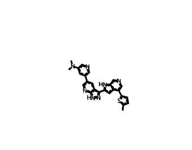 Cc1ccc(-c2cncc3[nH]c(-c4n[nH]c5ncc(-c6cncc(N(C)C)c6)cc45)cc23)s1